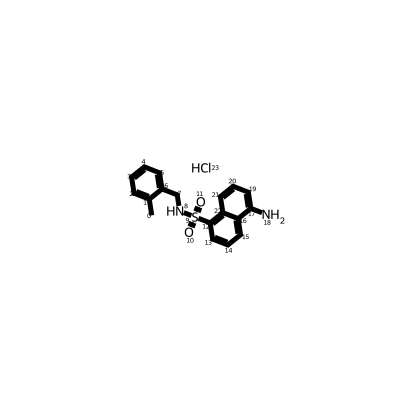 Cc1ccccc1CNS(=O)(=O)c1cccc2c(N)cccc12.Cl